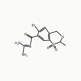 CCc1cc2c(cc1C(=O)N=C(N)N)S(=O)(=O)C(C)OC2